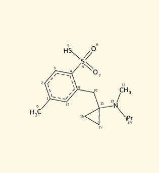 Cc1ccc(S(=O)(=O)S)c(CC2(N(C)C(C)C)CC2)c1